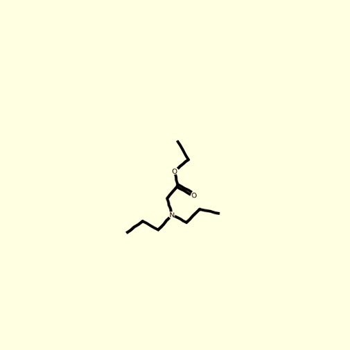 CCCN(CCC)CC(=O)OCC